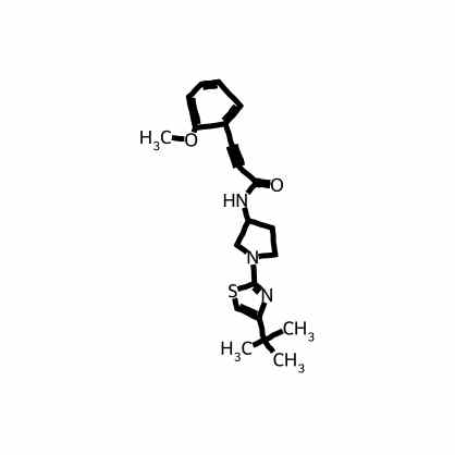 COc1ccccc1C#CC(=O)NC1CCN(c2nc(C(C)(C)C)cs2)C1